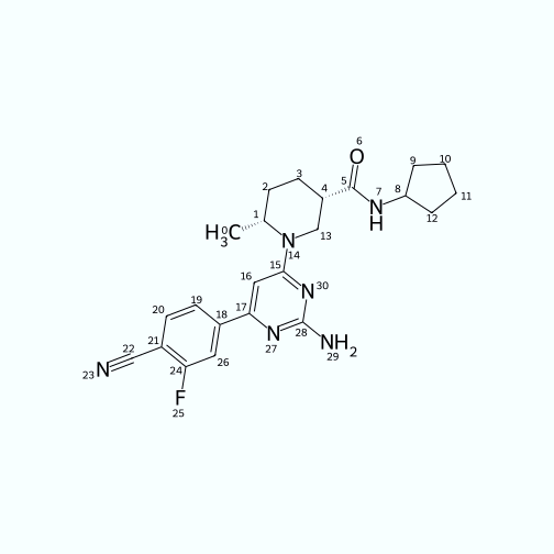 C[C@@H]1CC[C@H](C(=O)NC2CCCC2)CN1c1cc(-c2ccc(C#N)c(F)c2)nc(N)n1